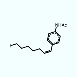 CC(=O)Nc1ccc(/C=C\CCCCCI)cc1